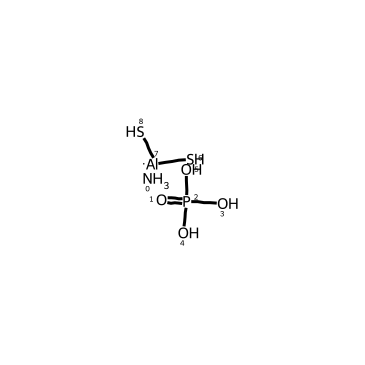 N.O=P(O)(O)O.[SH][Al][SH]